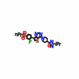 CCCS(=O)(=O)c1ccc(-c2csc3c(N4CCC(c5nc(C(C)C)no5)CC4)ncnc23)c(F)c1